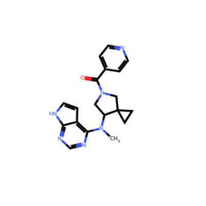 CN(c1ncnc2[nH]ccc12)C1CN(C(=O)c2ccncc2)CC12CC2